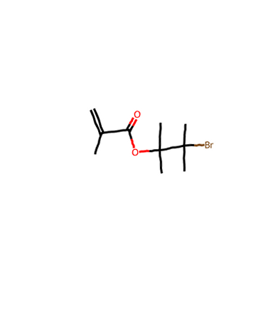 C=C(C)C(=O)OC(C)(C)C(C)(C)Br